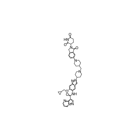 O=C1CCC(N2Cc3ccc(N4CCC(CN5CCC(n6cc7cc(NC(=O)c8cnn9cccnc89)c(OCC8CC8)cc7n6)CC5)CC4)cc3C2=O)C(=O)N1